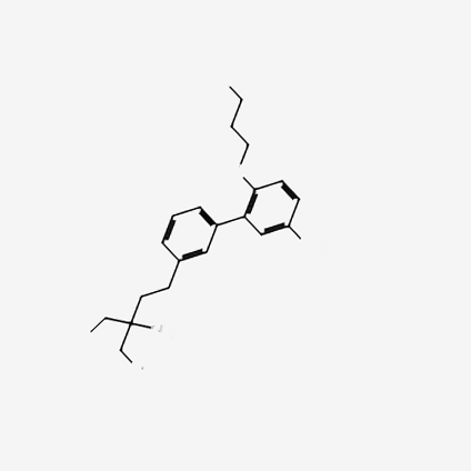 CCCCOc1ccc(C)cc1-c1cccc(CCC(N)(CO)CO)c1